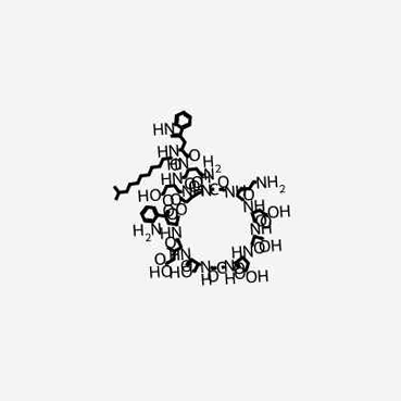 CC(C)CCCCCCCCC(=O)NC(Cc1c[nH]c2ccccc12)C(=O)NC(CC(N)=O)C(=O)NC(CC(=O)O)C(=O)NC1C(=O)NCC(=O)NC(CCCN)C(=O)NC(CC(=O)O)C(=O)NC(CO)C(=O)NC(CC(=O)O)C(=O)NCC(=O)NC(CO)C(=O)NC(C(C)CC(=O)O)C(=O)NC(CC(=O)c2ccccc2N)C(=O)OC1C